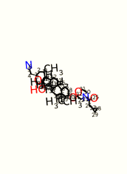 C[C@@H]1C[C@H](CC#N)O[C@H]2[C@H]1[C@@]1(C)CCC34C[C@@]35CC[C@H](O[C@H]3CN(C(=O)CC6CC6)CCO3)C(C)(C)[C@@H]5CC[C@H]4[C@]1(C)[C@H]2O